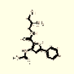 NC(=O)Nc1cc(-c2ccccc2)sc1C(=O)NC[C@H](N)CO